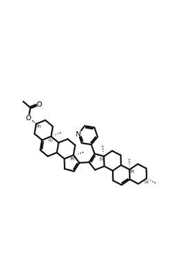 CC(=O)O[C@@H]1CC[C@]2(C)C(=CCC3C4CC=C(C5=C(c6cccnc6)[C@@]6(C)CCC7C(CC=C8C[C@@H](C)CC[C@@]87C)C6C5)[C@]4(C)CCC32)C1